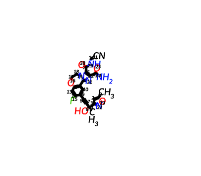 Cc1cc([C@](C)(O)C#Cc2cc3c(cc2F)OCCn2c-3nc(C(N)=O)c2C(=O)NCC#N)no1